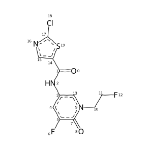 O=C(Nc1cc(F)c(=O)n(CCF)c1)c1cnc(Cl)s1